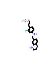 O=C(O)CCc1ccc(NCc2ccc3c(c2)NCCC3)cc1F